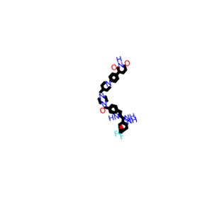 CC12CC3=C(CC1C2(F)F)C(c1cc2ccc(C(=O)N4CCN(CC5CCN(c6ccc(C7CCC(=O)NC7=O)cc6)CC5)CC4)cc2[nH]1)NN3